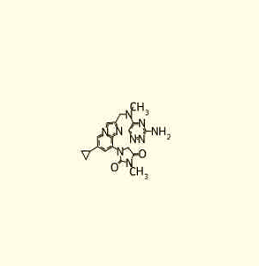 CN1C(=O)CN(c2cc(C3CC3)cn3cc(CN(C)c4cnnc(N)n4)nc23)C1=O